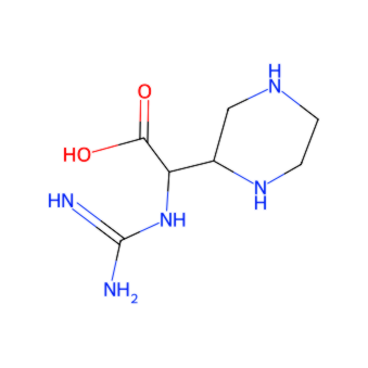 N=C(N)NC(C(=O)O)C1CNCCN1